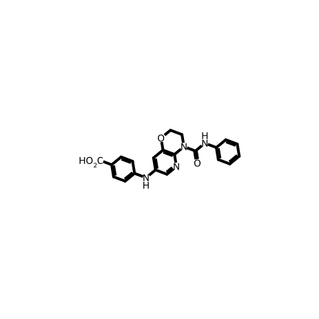 O=C(O)c1ccc(Nc2cnc3c(c2)OCCN3C(=O)Nc2ccccc2)cc1